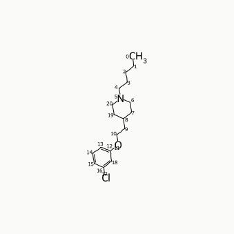 CCCCCN1CCC(CCOc2cccc(Cl)c2)CC1